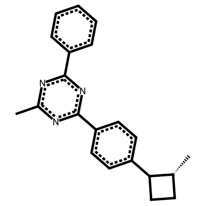 Cc1nc(-c2ccccc2)nc(-c2ccc(C3CC[C@H]3C)cc2)n1